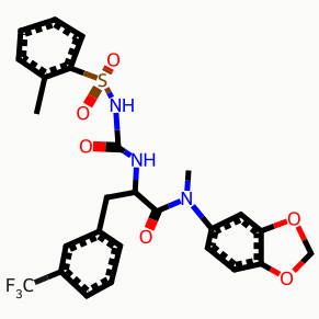 Cc1ccccc1S(=O)(=O)NC(=O)NC(Cc1cccc(C(F)(F)F)c1)C(=O)N(C)c1ccc2c(c1)OCO2